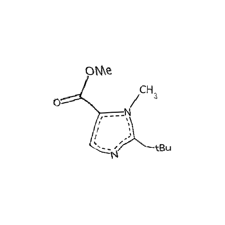 COC(=O)c1cnc(C(C)(C)C)n1C